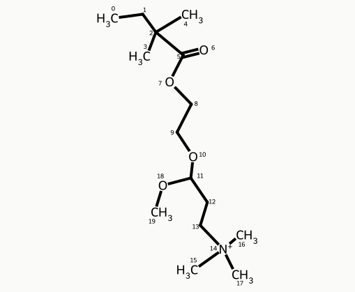 CCC(C)(C)C(=O)OCCOC(CC[N+](C)(C)C)OC